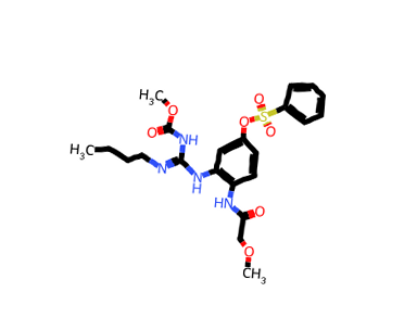 CCCC/N=C(\NC(=O)OC)Nc1cc(OS(=O)(=O)c2ccccc2)ccc1NC(=O)COC